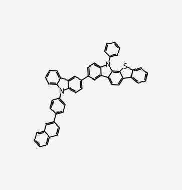 c1ccc(-n2c3ccc(-c4ccc5c(c4)c4ccccc4n5-c4ccc(-c5ccc6ccccc6c5)cc4)cc3c3ccc4c5ccccc5sc4c32)cc1